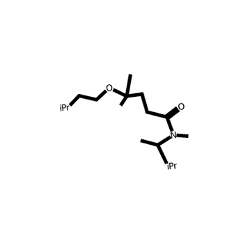 CC(C)CCOC(C)(C)CCC(=O)N(C)C(C)C(C)C